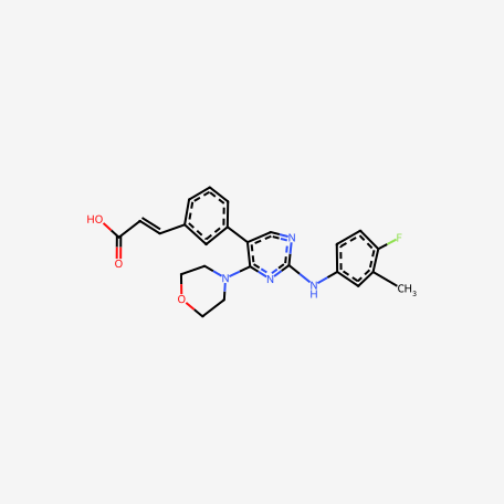 Cc1cc(Nc2ncc(-c3cccc(/C=C/C(=O)O)c3)c(N3CCOCC3)n2)ccc1F